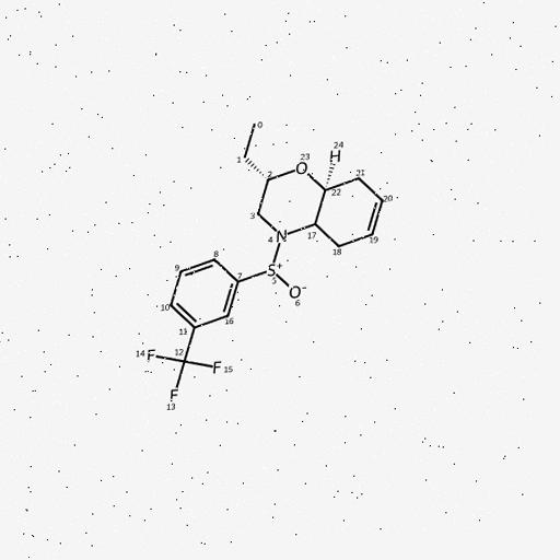 CC[C@H]1CN([S+]([O-])c2cccc(C(F)(F)F)c2)C2CC=CC[C@@H]2O1